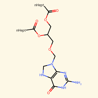 CCCCCCCC(=O)OCC(COCN1CNc2c1nc(N)[nH]c2=O)OC(=O)CCCCCCC